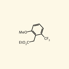 CCOC(=O)Cc1c(OC)cccc1C(F)(F)F